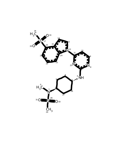 CN([C@H]1CC[C@H](Nc2nccc(-n3ccc4c(S(C)(=O)=O)cccc43)n2)CC1)S(C)(=O)=O